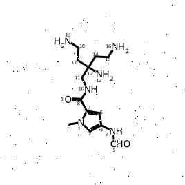 Cn1cc(NC=O)cc1C(=O)NCC(N)(CCN)CCN